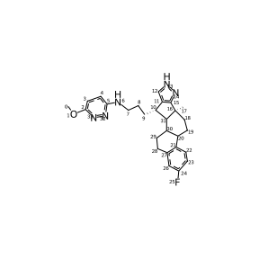 COc1ccc(NCCC[C@@H]2c3c[nH]nc3[C@@]3(C)CCC4c5ccc(F)cc5CCC4C23)nn1